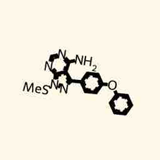 CSn1nc(-c2ccc(Oc3ccccc3)cc2)c2c(N)ncnc21